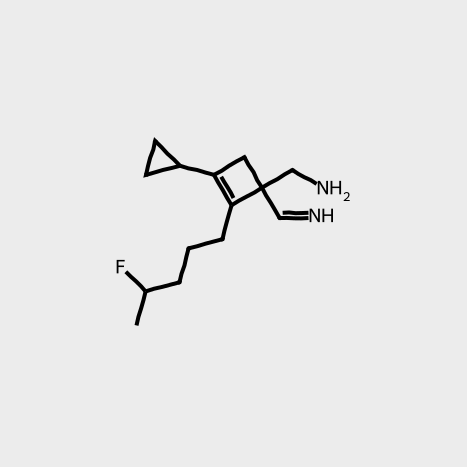 CC(F)CCCC1=C(C2CC2)CC1(C=N)CN